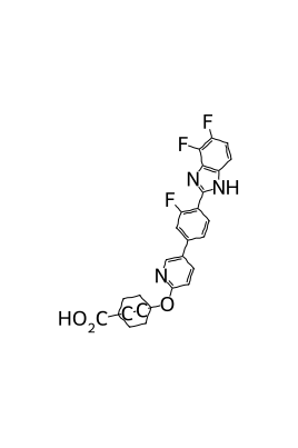 O=C(O)C12CCC(Oc3ccc(-c4ccc(-c5nc6c(F)c(F)ccc6[nH]5)c(F)c4)cn3)(CC1)CC2